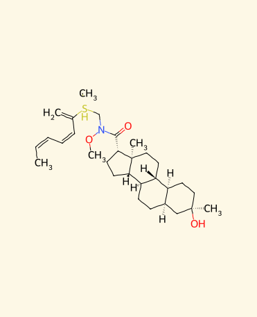 C=C(/C=C\C=C/C)[SH](C)CN(OC)C(=O)[C@H]1CC[C@H]2[C@@H]3CC[C@@H]4C[C@](C)(O)CC[C@@H]4[C@H]3CC[C@]12C